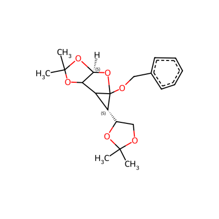 CC1(C)OCC([C@@H]2C3C4OC(C)(C)O[C@H]4OC32OCc2ccccc2)O1